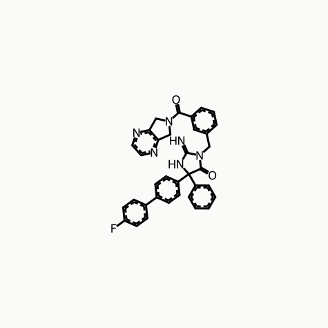 N=C1NC(c2ccccc2)(c2ccc(-c3ccc(F)cc3)cc2)C(=O)N1Cc1cccc(C(=O)N2Cc3nccnc3C2)c1